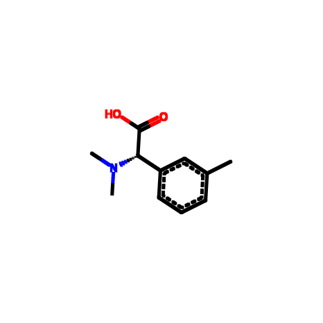 Cc1cccc([C@@H](C(=O)O)N(C)C)c1